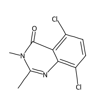 Cc1nc2c(Cl)ccc(Cl)c2c(=O)n1C